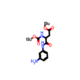 CC(C)(C)OC(=O)CC(NC(=O)OC(C)(C)C)C(=O)Nc1cccc(N)c1